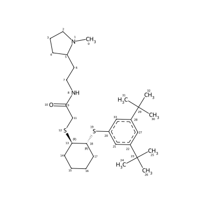 CN1CCCC1CCNC(=O)CS[C@@H]1CCCC[C@H]1Sc1cc(C(C)(C)C)cc(C(C)(C)C)c1